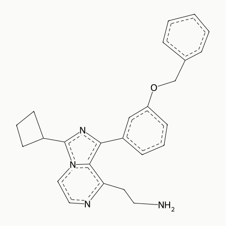 NCCc1nccn2c(C3CCC3)nc(-c3cccc(OCc4ccccc4)c3)c12